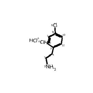 Cl.Cl.NCCc1ccc(Cl)cc1